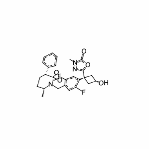 C[C@H]1CC[C@H](c2ccccc2)S(=O)(=O)N1Cc1cc(F)c([C@]2(c3nn(C)c(=O)o3)C[C@H](O)C2)cc1F